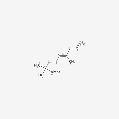 C=CC/C(C)=C/CCC(C)(O)CCCCC